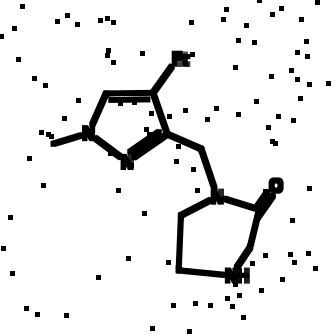 CCc1cn(C)nc1CN1CCNCC1=O